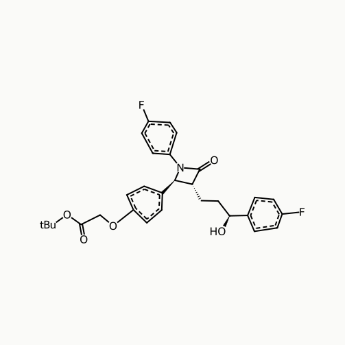 CC(C)(C)OC(=O)COc1ccc([C@@H]2[C@@H](CC[C@H](O)c3ccc(F)cc3)C(=O)N2c2ccc(F)cc2)cc1